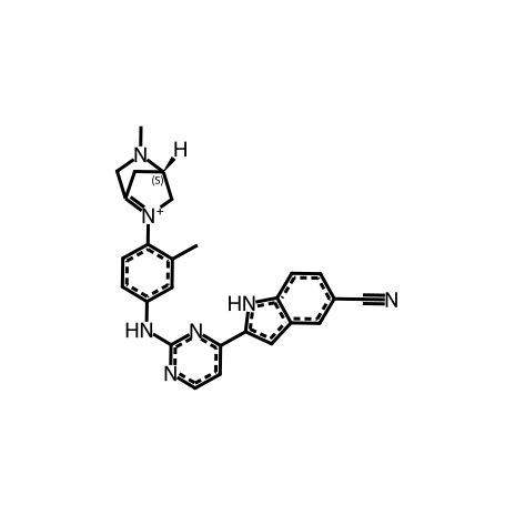 Cc1cc(Nc2nccc(-c3cc4cc(C#N)ccc4[nH]3)n2)ccc1[N+]1=C2C[C@@H](C1)N(C)C2